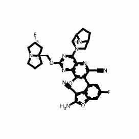 N#Cc1nc2c(N3CC4CCC(C3)N4)nc(OC[C@@]34CCCN3C[C@H](F)C4)nc2c(O)c1-c1cc(F)cc2oc(N)c(C#N)c12